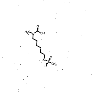 CN(CCCCCCOS(C)(=O)=O)C(=O)O